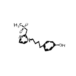 CS(=O)(=O)Cc1nccn1CCCCc1ccc(O)cc1